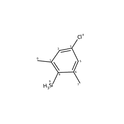 Cc1cc(Cl)cc(C)c1[SiH3]